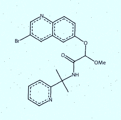 COC(Oc1ccc2ncc(Br)cc2c1)C(=O)NC(C)(C)c1ccccn1